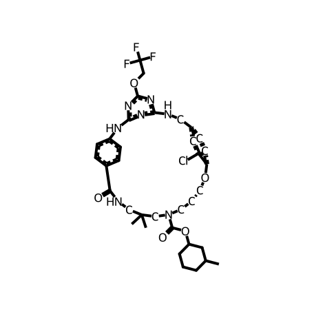 CC1CCCC(OC(=O)N2CCCOc3ccc(cc3Cl)CNc3nc(nc(OCC(F)(F)F)n3)Nc3ccc(cc3)C(=O)NCC(C)(C)C2)C1